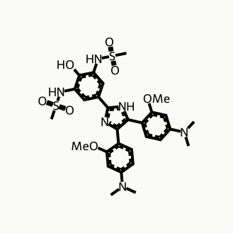 COc1cc(N(C)C)ccc1-c1nc(-c2cc(NS(C)(=O)=O)c(O)c(NS(C)(=O)=O)c2)[nH]c1-c1ccc(N(C)C)cc1OC